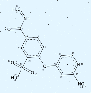 C=NC(=O)c1ccc(Oc2ccnc([N+](=O)[O-])c2)c(S(C)(=O)=O)c1